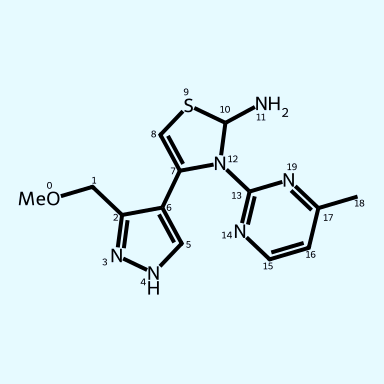 COCc1n[nH]cc1C1=CSC(N)N1c1nccc(C)n1